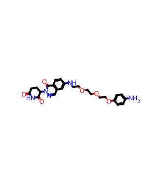 Nc1ccc(OCCOCCOCCNc2ccc3c(=O)n(C4CCC(=O)NC4=O)ncc3c2)cc1